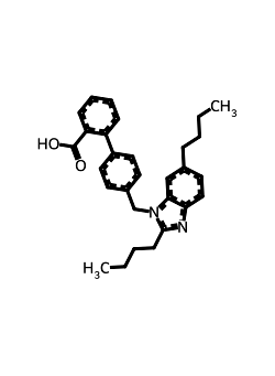 CCCCc1ccc2nc(CCCC)n(Cc3ccc(-c4ccccc4C(=O)O)cc3)c2c1